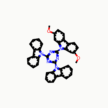 COc1ccc2c3ccc(OC)cc3n(-c3nc(-n4c5ccccc5c5ccccc54)nc(-n4c5ccccc5c5ccccc54)n3)c2c1